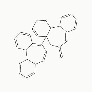 O=C1[C]=C2C=CC=CC2C2C=CC=CC2(C2=C3C=CC=CC3C3C=CC=CC3C=C2)C1